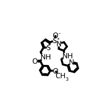 COc1cccc(C(=O)NCc2ccc([S+]([O-])N3CCC(NCCc4ccccn4)C3)s2)c1